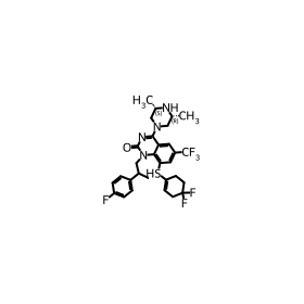 C[C@@H]1CN(c2nc(=O)n3c4c(cc(C(F)(F)F)cc24)[SH](C2=CCC(F)(F)CC2)CC(c2ccc(F)cc2)C3)C[C@H](C)N1